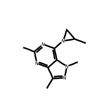 Cc1nc(N2CC2C)c2c(n1)c(C)nn2C